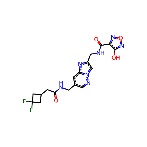 O=C(CC1CC(F)(F)C1)NCc1cnn2cc(CNC(=O)c3nonc3O)nc2c1